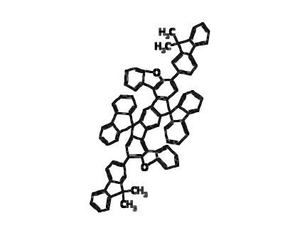 CC1(C)c2ccccc2-c2ccc(-c3cc4c(c5c3oc3ccccc35)-c3cc5c(cc3C43c4ccccc4-c4ccccc43)-c3c(cc(-c4ccc6c(c4)C(C)(C)c4ccccc4-6)c4oc6ccccc6c34)C53c4ccccc4-c4ccccc43)cc21